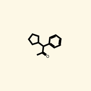 CC(=O)C(c1c[c]ccc1)C1CCCC1